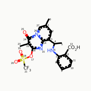 Cc1cc(C(C)Nc2ccccc2C(=O)O)c2nc(OS(=O)(=O)C(F)(F)F)c(C)c(=O)n2c1